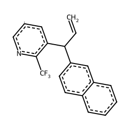 C=CC(c1ccc2ccccc2c1)c1c[c]cnc1C(F)(F)F